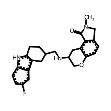 CN1Cc2ccc3c(c2C1=O)CC(NCC1CCc2[nH]c4ccc(F)cc4c2C1)CO3